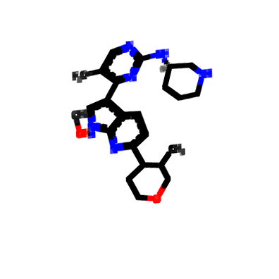 CC1COCCC1c1ccc2c(-c3nc(N[C@H]4CCCNC4)ncc3C(F)(F)F)c[nH]c2n1.O=CO